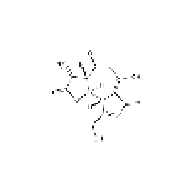 C=C1C(=O)O[C@@H]2[C@H]3C(CO)=CC(=O)C3=C(C)C[C@H](O)[C@@H]12